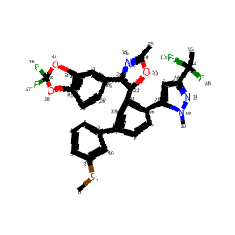 CSc1cccc(-c2ccc(-c3cc(C(C)(F)F)nn3C)c(-c3oc(C)nc3-c3ccc4c(c3)OC(F)(F)O4)c2)c1